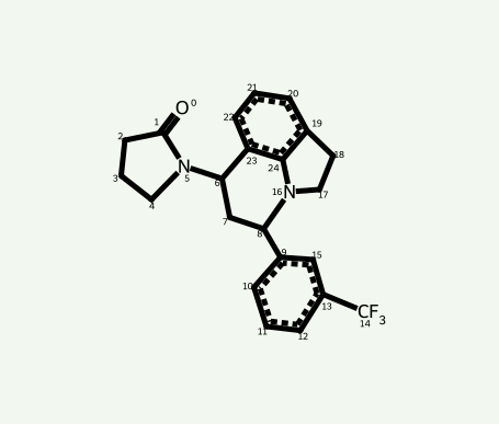 O=C1CCCN1C1CC(c2cccc(C(F)(F)F)c2)N2CCc3cccc1c32